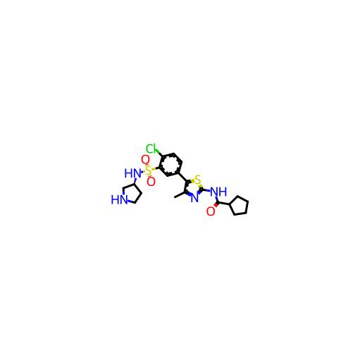 Cc1nc(NC(=O)C2CCCC2)sc1-c1ccc(Cl)c(S(=O)(=O)N[C@H]2CCNC2)c1